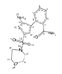 NC(=O)c1ccccc1-c1cc(S(=O)(=O)N2CCOCC2)sc1N